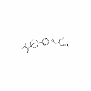 CNC(=O)C12CCCC(c3ccc(OCC(=CF)CN)cc3)(CC1)CC2